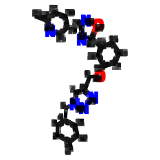 Cc1ccc(Cn2cc(COc3cccc(-c4nc(-c5ccc(C)nc5)no4)c3)nn2)cc1